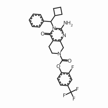 Nc1nc2c(c(=O)n1C(c1ccccc1)C1CCC1)CCN(C(=O)Oc1ccc(C(F)(F)F)cc1F)C2